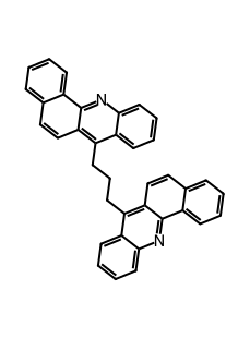 c1ccc2c(c1)ccc1c(CCCc3c4ccccc4nc4c3ccc3ccccc34)c3ccccc3nc12